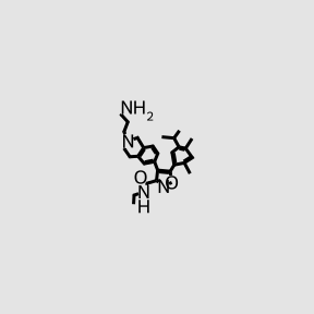 CCNC(=O)c1noc(-c2cc(C(C)C)c(C)cc2C)c1-c1ccc2c(c1)CCN(CCCN)C2